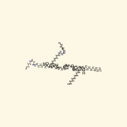 CCCCC/C=C\C/C=C\CCCCCCC(O)CN(CCCSSCCN1CCN(CCOC(=O)CCCN(CC(O)CCCCCCCCCC)CC(O)CCCCCCCCCC)CC1)CC(O)CCCCCC/C=C\C/C=C\CCCCC